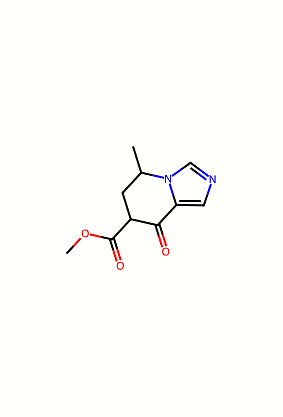 COC(=O)C1CC(C)n2cncc2C1=O